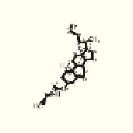 C#CCNC(=O)O[C@H]1CC[C@@]2(C)C(=CCC3C2CC[C@@]2(C)C3CC[C@@H]2[C@H](C)CCCC(C)C)C1